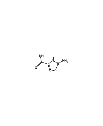 [NH]C(=O)C1=CSN(N)N1